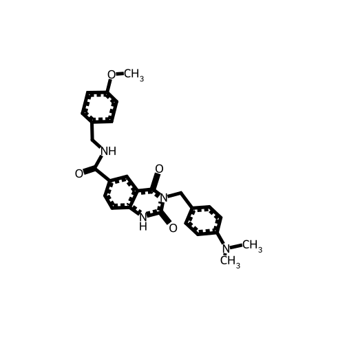 COc1ccc(CNC(=O)c2ccc3[nH]c(=O)n(Cc4ccc(N(C)C)cc4)c(=O)c3c2)cc1